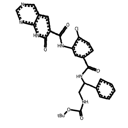 CC(C)(C)OC(=O)NCC(NC(=O)c1ccc(Cl)c(NC(=O)c2cc3cncnc3[nH]c2=O)c1)c1ccccc1